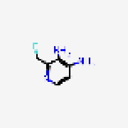 Nc1ccnc(CF)c1N